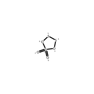 O=S1(=O)OSSO1